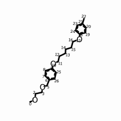 COCCOCc1ccc(OCCCCCCOc2ccc(C)cc2)cc1